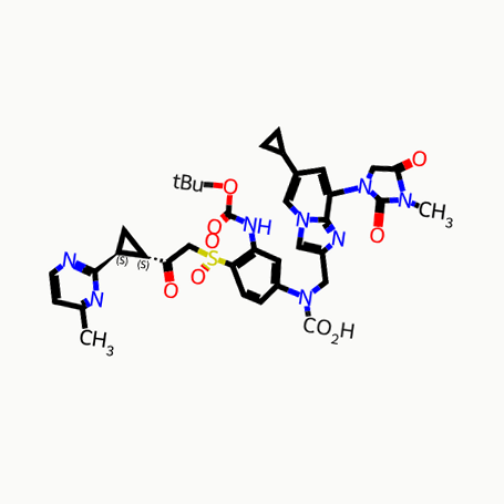 Cc1ccnc([C@H]2C[C@@H]2C(=O)CS(=O)(=O)c2ccc(N(Cc3cn4cc(C5CC5)cc(N5CC(=O)N(C)C5=O)c4n3)C(=O)O)cc2NC(=O)OC(C)(C)C)n1